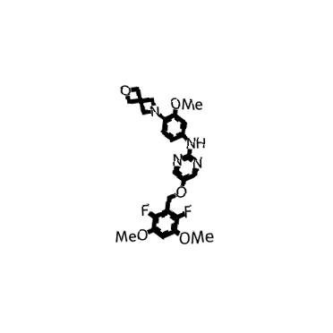 COc1cc(Nc2ncc(OCc3c(F)c(OC)cc(OC)c3F)cn2)ccc1N1CC2(COC2)C1